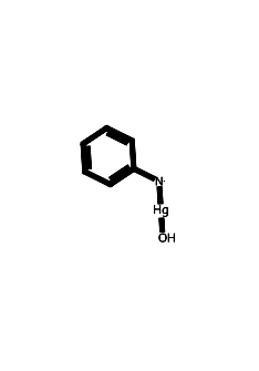 [OH][Hg][N]c1ccccc1